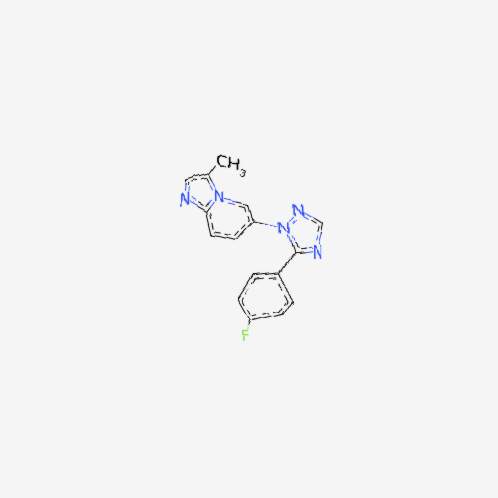 Cc1cnc2ccc(-n3ncnc3-c3ccc(F)cc3)cn12